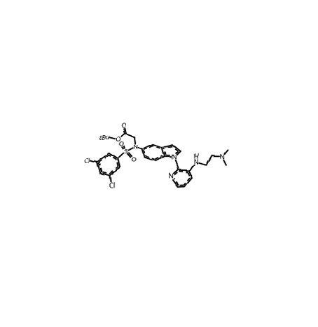 CN(C)CCNc1cccnc1-n1ccc2cc(N(CC(=O)OC(C)(C)C)S(=O)(=O)c3cc(Cl)cc(Cl)c3)ccc21